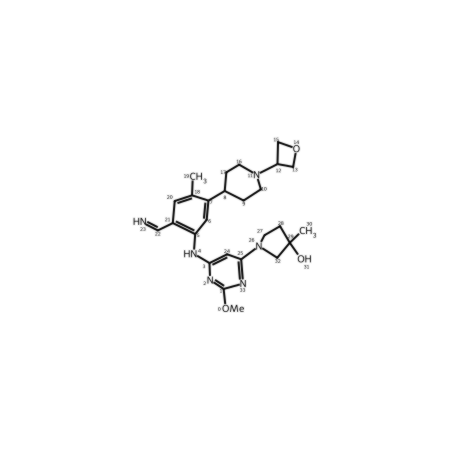 COc1nc(Nc2cc(C3CCN(C4COC4)CC3)c(C)cc2C=N)cc(N2CCC(C)(O)C2)n1